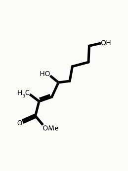 COC(=O)C(C)=CC(O)CCCCO